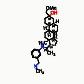 C=NCc1cccc(N[C@@H](C)[C@H]2CC[C@H]3[C@@H]4CC[C@@H]5C[C@@](O)(COC)CC[C@@H]5[C@H]4CC[C@]23C)c1